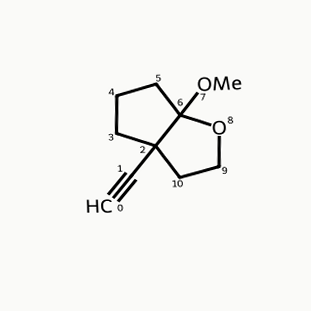 C#CC12CCCC1(OC)OCC2